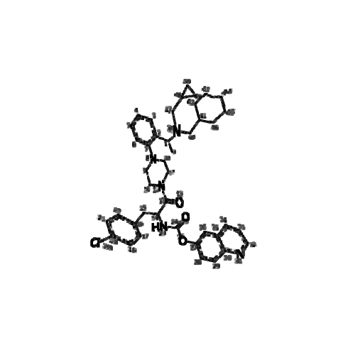 CC(c1ccccc1N1CCN(C(=O)C(Cc2ccc(Cl)cc2)NC(=O)Oc2ccc3ncccc3c2)CC1)N(CC1CCCCC1)CC1CC1